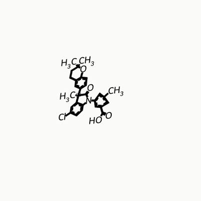 Cc1cc(C(=O)O)cc(N2C(=O)[C@@](C)(c3ccc4c(c3)CCC(C)(C)O4)c3cc(Cl)ccc32)c1